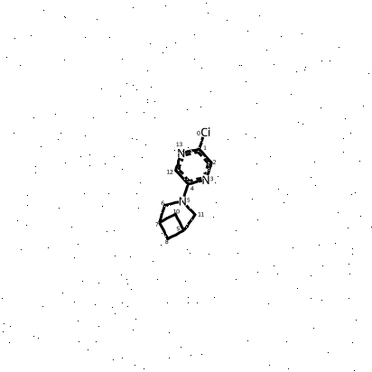 Clc1cnc(N2CC3CC(C3)C2)cn1